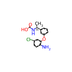 C[C@H](NC(=O)O)c1cccc(Oc2cc(Cl)ccc2N)c1